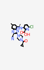 Cc1cc([C@@H](C)Nc2ccc(Cl)nc2C(=O)O)c2nc(N3CCN(C(=O)C4CC4)CC3)c(C#N)nc2c1